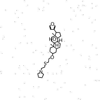 C[C@]12CCC(OCCSCCN3CCCC3)CC1CC[C@@H]1[C@H]2CC[C@]2(C)C(c3ccoc3)CC[C@@]12O